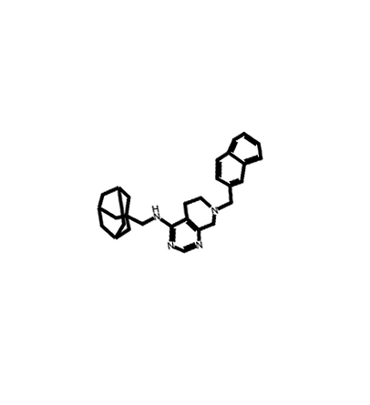 c1ccc2cc(CN3CCc4c(ncnc4NCC45CC6CC(CC(C6)C4)C5)C3)ccc2c1